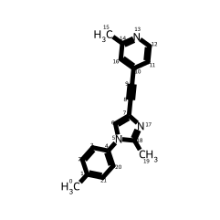 Cc1ccc(-n2cc(C#Cc3ccnc(C)c3)nc2C)cc1